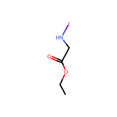 CCOC(=O)CNI